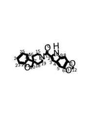 O=C(c1cc2cc3c(cc2[nH]1)OCO3)N1CCC2(CC1)COc1ccccc12